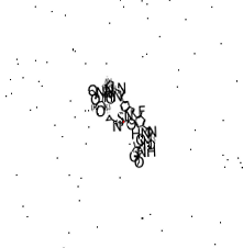 COC(=O)NC(C(=O)N1[C@H](C)[C@H](C)C[C@H]1c1ncc(-c2ccc3c(c2)cc2n3C(c3cnc(C4CC4)s3)Oc3cc(-c4cnc([C@@H]5CCCN5C(=O)[C@@H](NC(=O)OC)C(C)C)[nH]4)cc(F)c3-2)[nH]1)C1C[C@@H](C)O[C@@H](C)C1